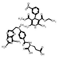 CCOC(=O)C1=C(C)NC(C)=C(C(=O)OC)C1c1cccc([N+](=O)[O-])c1.CN(Cc1cnc2nc(N)nc(N)c2n1)c1ccc(C(=O)N[C@@H](CCC(=O)O)C(=O)O)cc1